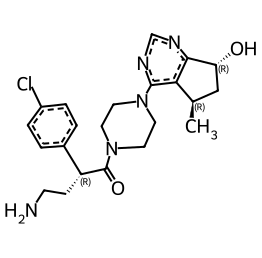 C[C@@H]1C[C@@H](O)c2ncnc(N3CCN(C(=O)[C@H](CCN)c4ccc(Cl)cc4)CC3)c21